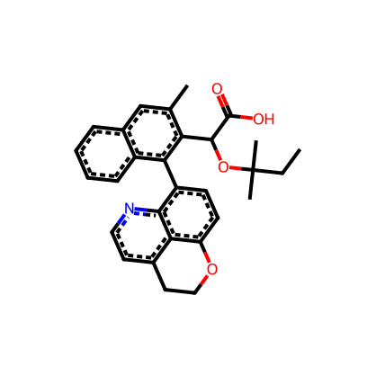 CCC(C)(C)OC(C(=O)O)c1c(C)cc2ccccc2c1-c1ccc2c3c(ccnc13)CCO2